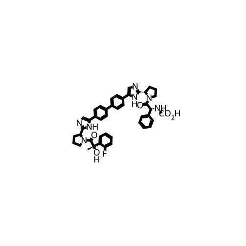 C[C@@](O)(C(=O)N1CCCC1c1ncc(-c2ccc(-c3ccc(-c4cnc([C@@H]5CCCN5C(=O)[C@H](NC(=O)O)c5ccccc5)[nH]4)cc3)cc2)[nH]1)c1ccccc1F